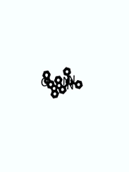 c1ccc(-c2nc(-c3ccccc3)nc(-c3cccc4c3-c3ccccc3C43c4ccccc4-c4cc5oc6ccccc6c5cc43)n2)cc1